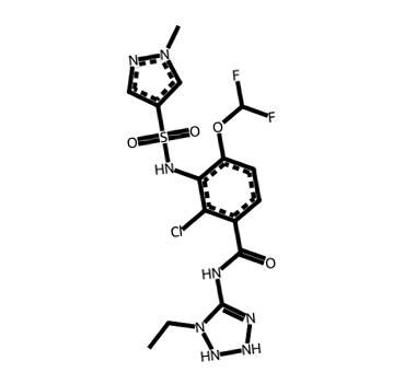 CCN1NNN=C1NC(=O)c1ccc(OC(F)F)c(NS(=O)(=O)c2cnn(C)c2)c1Cl